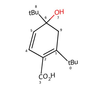 CC(C)(C)C1=C(C(=O)O)C=CC(O)(C(C)(C)C)C1